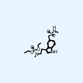 CCOP(=O)(OCC)N(C)CCc1c[nH]c2ccc(CS(=O)(=O)NC)cc12